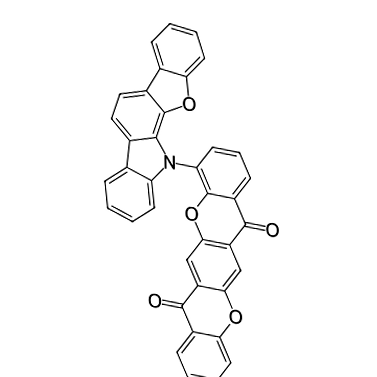 O=c1c2ccccc2oc2cc3c(=O)c4cccc(-n5c6ccccc6c6ccc7c8ccccc8oc7c65)c4oc3cc12